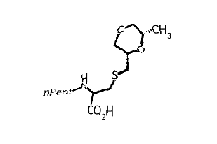 CCCCCNC(CSC[C@H]1COC[C@H](C)O1)C(=O)O